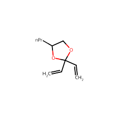 C=CC1(C=C)OCC(CCC)O1